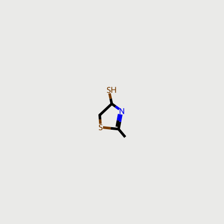 CC1=NC(S)CS1